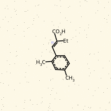 CC/C(=C\c1ccc(C)cc1C)C(=O)O